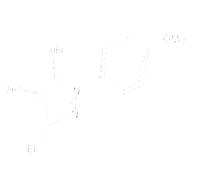 CCCc1c(O)c(CC)nn1-c1ccc(OC)cc1